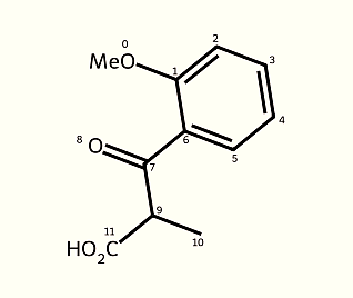 COc1ccccc1C(=O)C(C)C(=O)O